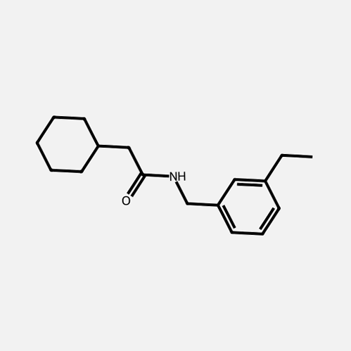 CCc1cccc(CNC(=O)CC2CCCCC2)c1